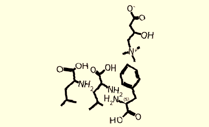 CC(C)CC(N)C(=O)O.CC(C)CC(N)C(=O)O.C[N+](C)(C)CC(O)CC(=O)[O-].N[C@@H](Cc1ccccc1)C(=O)O